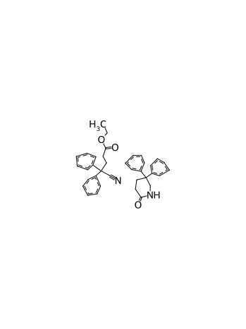 CCOC(=O)CCC(C#N)(c1ccccc1)c1ccccc1.O=C1CCC(c2ccccc2)(c2ccccc2)CN1